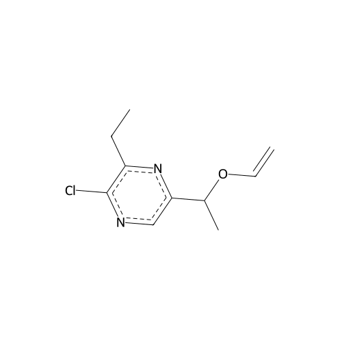 C=COC(C)c1cnc(Cl)c(CC)n1